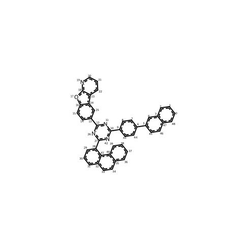 c1ccc2cc(-c3ccc(-c4nc(-c5ccc6oc7ncccc7c6c5)nc(-c5cccc6ccc7ccccc7c56)n4)cc3)ccc2c1